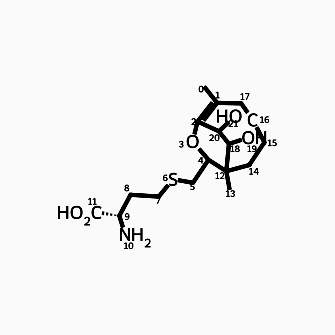 C/C1=C2/OC(CSCC[C@H](N)C(=O)O)C(C)(CCCC1)C(O)C2O